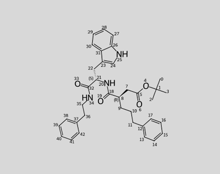 CC(C)(C)OC(=O)C[C@@H](CCCc1ccccc1)C(=O)N[C@@H](Cc1c[nH]c2ccccc12)C(=O)NCCc1ccccc1